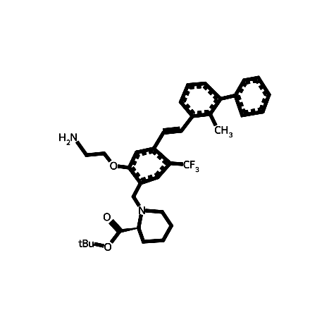 Cc1c(/C=C/c2cc(OCCN)c(CN3CCCC[C@H]3C(=O)OC(C)(C)C)cc2C(F)(F)F)cccc1-c1ccccc1